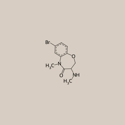 CNC1COc2ccc(Br)cc2N(C)C1=O